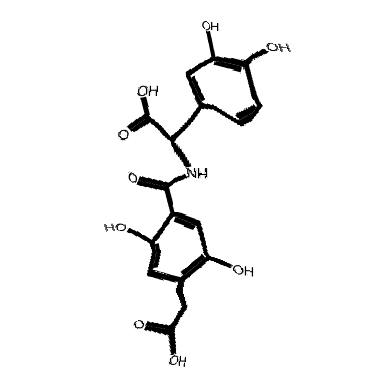 O=C(O)Cc1cc(O)c(C(=O)NC(C(=O)O)c2ccc(O)c(O)c2)cc1O